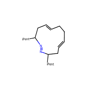 CCCC(C)C1C/C=C/CC/C=C/CC(C(C)CCC)/N=N/1